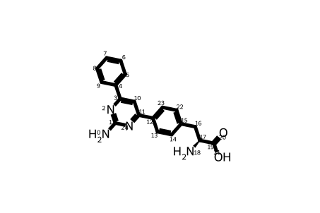 Nc1nc(-c2ccccc2)cc(-c2ccc(C[C@H](N)C(=O)O)cc2)n1